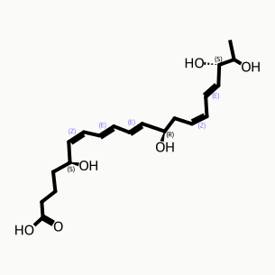 CC(O)[C@@H](O)/C=C/C=C\C[C@@H](O)/C=C/C=C/C=C\[C@@H](O)CCCC(=O)O